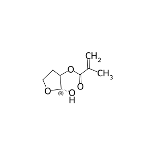 C=C(C)C(=O)OC1CCO[C@H]1O